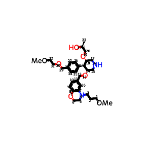 COCCCN1CCOc2ccc(CO[C@H]3CNC[C@@H](OC[C@H](C)O)[C@@H]3c3ccc(COCCOC)cc3)cc21